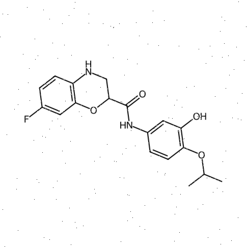 CC(C)Oc1ccc(NC(=O)C2CNc3ccc(F)cc3O2)cc1O